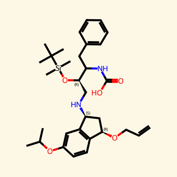 C=CCO[C@@H]1C[C@H](NC[C@@H](O[Si](C)(C)C(C)(C)C)C(Cc2ccccc2)NC(=O)O)c2cc(OC(C)C)ccc21